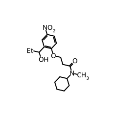 CCC(O)c1cc([N+](=O)[O-])ccc1OCCC(=O)N(C)C1CCCCC1